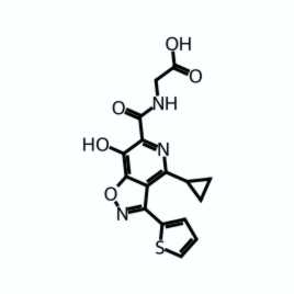 O=C(O)CNC(=O)c1nc(C2CC2)c2c(-c3cccs3)noc2c1O